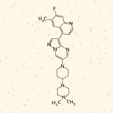 Cc1cc2c(-c3cnn4cc(N5CCC(N6CC[N+](C)(C)CC6)CC5)cnc34)ccnc2cc1F